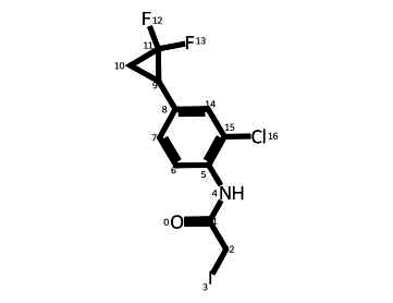 O=C(CI)Nc1ccc(C2CC2(F)F)cc1Cl